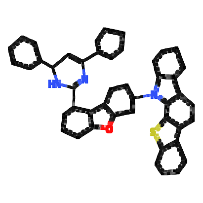 C1=C(c2ccccc2)N=C(c2cccc3oc4cc(-n5c6ccccc6c6ccc7c8ccccc8sc7c65)ccc4c23)NC1c1ccccc1